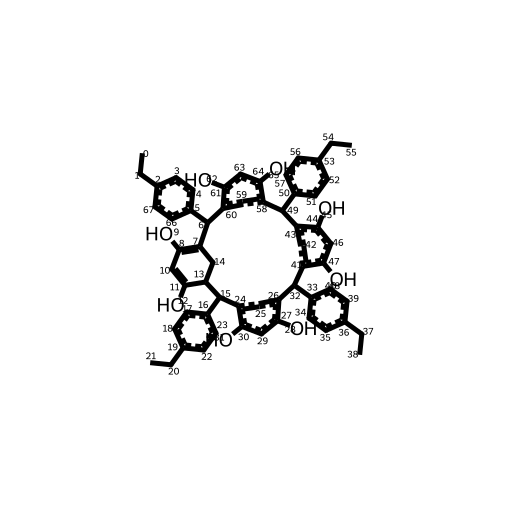 CCc1ccc(C2C3=C(O)C=C(O)C(C3)C(c3ccc(CC)cc3)c3cc(c(O)cc3O)C(c3ccc(CC)cc3)c3cc(c(O)cc3O)C(c3ccc(CC)cc3)c3cc2c(O)cc3O)cc1